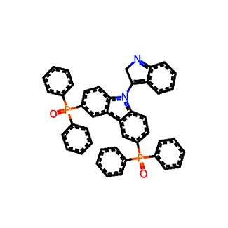 O=P(c1ccccc1)(c1ccccc1)c1ccc2c(c1)c1cc(P(=O)(c3ccccc3)c3ccccc3)ccc1n2C1=c2ccccc2=NC1